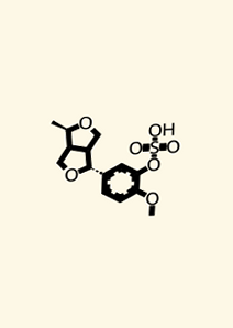 COc1ccc([C@@H]2OCC3C2CO[C@@H]3C)cc1OS(=O)(=O)O